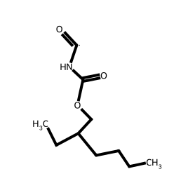 CCCCC(CC)COC(=O)N[C]=O